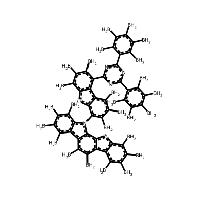 Bc1c(B)c(B)c(-c2nc(-c3c(B)c(B)c(B)c(B)c3B)nc(-c3c(B)c(B)c(B)c4oc5c(-n6c7c(B)c(B)c(B)c(B)c7c7c(B)c(B)c8c(sc9c(B)c(B)c(B)c(B)c98)c76)c(B)c(B)c(B)c5c34)n2)c(B)c1B